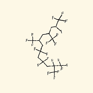 FC(F)(CC(CC(CC(I)C(F)(F)F)C(F)(F)F)C(F)(F)F)CC(F)(F)CC(F)(C(F)(F)F)C(F)(F)F